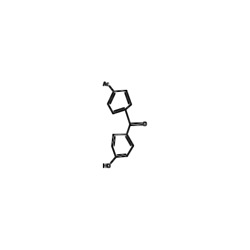 CC(=O)c1ccc(C(=O)c2ccc(O)cc2)cc1